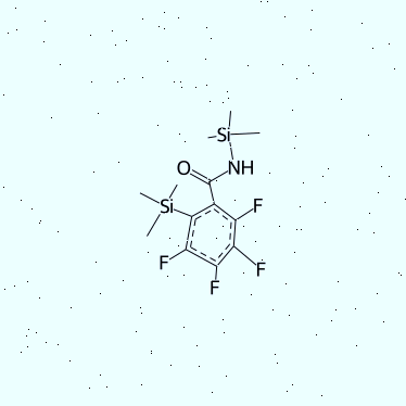 C[Si](C)(C)NC(=O)c1c(F)c(F)c(F)c(F)c1[Si](C)(C)C